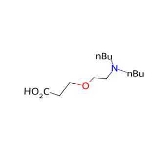 CCCCN(CCCC)CCOCCC(=O)O